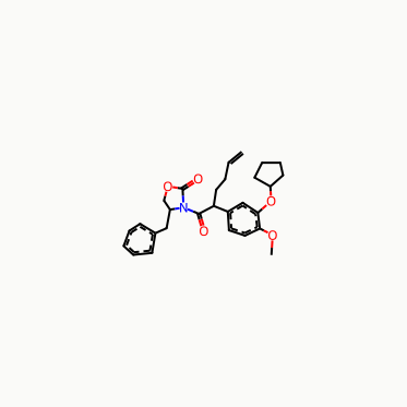 C=CCCC(C(=O)N1C(=O)OCC1Cc1ccccc1)c1ccc(OC)c(OC2CCCC2)c1